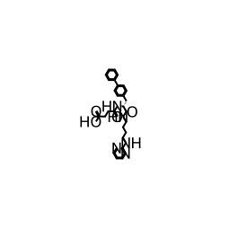 O=C(O)CCC(=O)N[C@H](Cc1ccc(-c2ccccc2)cc1)C(=O)NCCCCNc1ncccn1